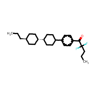 CCCC(F)(F)C(=O)c1ccc(C2CCC([C@H]3CC[C@H](CCC)CC3)CC2)cc1